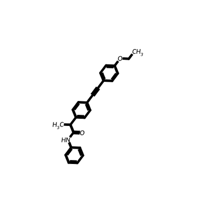 CCOc1ccc(C#Cc2ccc(C(C)C(=O)Nc3ccccc3)cc2)cc1